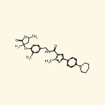 CCCC(C)(Oc1ccc(CNC(=O)c2cc(-c3ccc(N4CCCCC4)cc3)nn2C)cc1C)C(=O)O